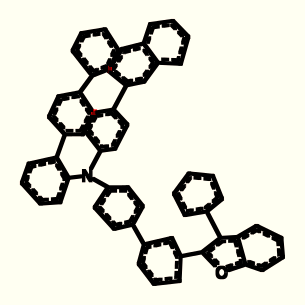 c1ccc(-c2ccc(-c3ccccc3N(c3ccc(-c4cccc(-c5oc6ccccc6c5-c5ccccc5)c4)cc3)c3ccc(-c4ccc5ccccc5c4)cc3)cc2)cc1